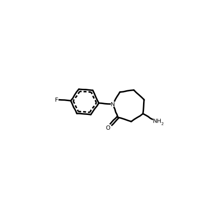 NC1CCCN(c2ccc(F)cc2)C(=O)C1